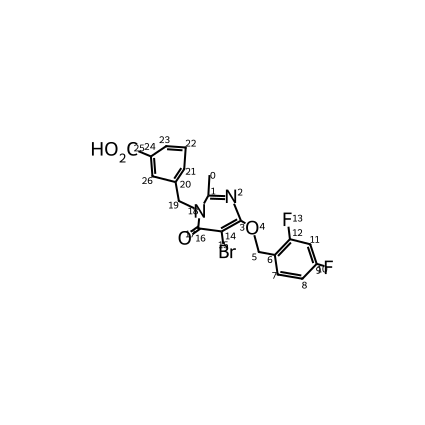 Cc1nc(OCc2ccc(F)cc2F)c(Br)c(=O)n1Cc1cccc(C(=O)O)c1